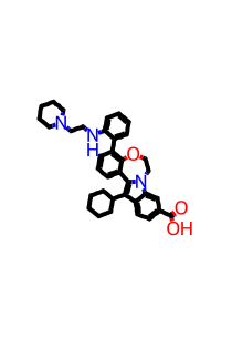 O=C(O)c1ccc2c(C3CCCCC3)c3n(c2c1)CCOc1c(-c2ccccc2NCCN2CCCCC2)cccc1-3